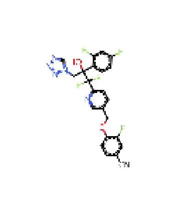 N#Cc1ccc(OCc2ccc(C(F)(F)C(O)(Cn3cnnn3)c3ccc(F)cc3F)nc2)c(F)c1